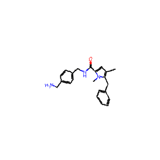 Cc1cc(C(=O)NCc2ccc(CN)cc2)n(C)c1Cc1ccccc1